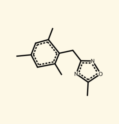 Cc1cc(C)c(Cc2noc(C)n2)c(C)c1